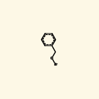 BrOCc1ccccc1